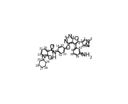 Cn1cc(-c2oc3ncnc(Oc4ccc(NC(=O)c5cccn(C6CCCCC6)c5=O)cc4)c3c2-c2cccc(N)c2)cn1